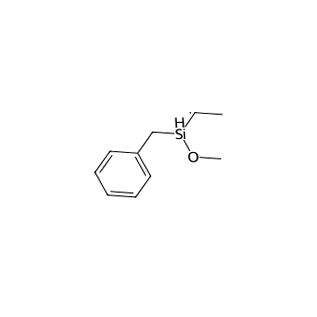 C[CH][SiH](Cc1ccccc1)OC